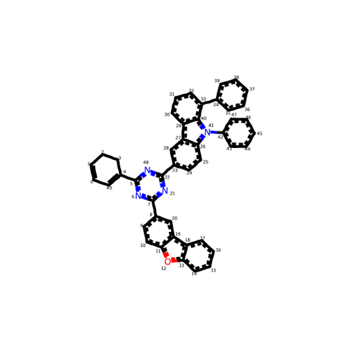 C1=CCCC(c2nc(-c3ccc4oc5ccccc5c4c3)nc(-c3ccc4c(c3)c3cccc(-c5ccccc5)c3n4-c3ccccc3)n2)=C1